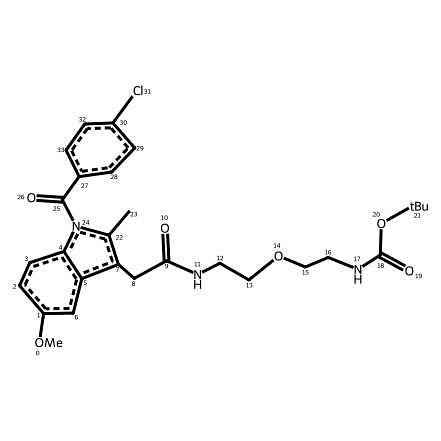 COc1ccc2c(c1)c(CC(=O)NCCOCCNC(=O)OC(C)(C)C)c(C)n2C(=O)c1ccc(Cl)cc1